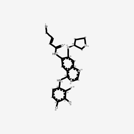 O=C(C=CCBr)Nc1cc2c(Nc3ccc(Cl)c(Cl)c3F)ncnc2cc1O[C@H]1CCOC1